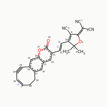 CC1(C)OC(=C(C#N)C#N)C(C#N)=C1/C=C/c1cc2cc3c(cc2oc1=O)C#C/C=C\CC3